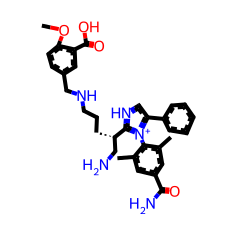 COc1ccc(CNCCC[C@@H](CN)c2[nH]cc(-c3ccccc3)[n+]2-c2c(C)cc(C(N)=O)cc2C)cc1C(=O)O